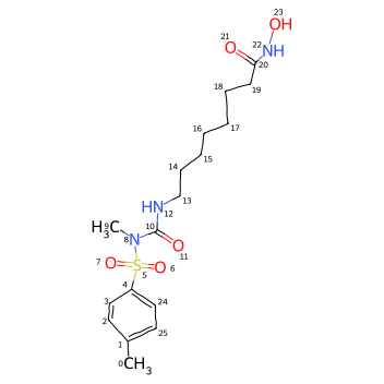 Cc1ccc(S(=O)(=O)N(C)C(=O)NCCCCCCCC(=O)NO)cc1